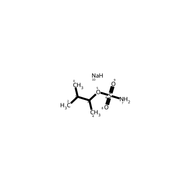 CC(C)C(C)OS(N)(=O)=O.[NaH]